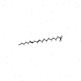 CCCCCC=CCC=CCCCCCCCOC(C)=O